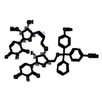 COc1ccc(C(OC[C@H]2O[C@@H](n3ccc(=O)[nH]c3=O)[C@H](F)[C@@H]2OC/C=C\[C@H]2O[C@@H](n3ccc(=O)[nH]c3=O)[C@H](OC)[C@@H]2O)(c2ccccc2)c2ccc(OC)cc2)cc1